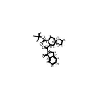 CC(C)(C)OC(=O)N1CCC2(CC1C(=O)N1Cc3ccccc3C1=O)OCCO2